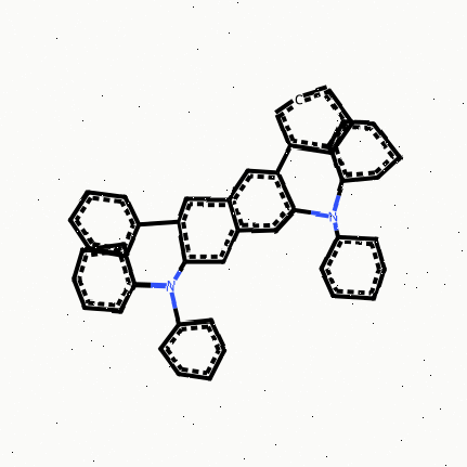 c1ccc(-c2cc3cc(-c4ccccc4)c(N(c4ccccc4)c4ccccc4)cc3cc2N(c2ccccc2)c2ccccc2)cc1